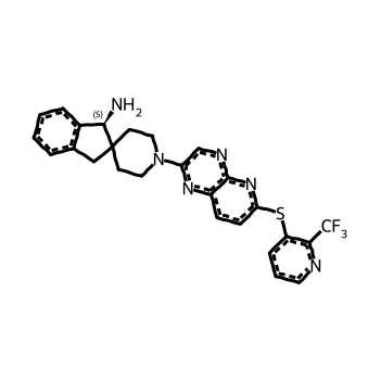 N[C@@H]1c2ccccc2CC12CCN(c1cnc3nc(Sc4cccnc4C(F)(F)F)ccc3n1)CC2